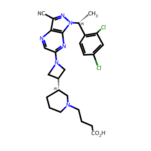 C[C@H](c1ccc(Cl)cc1Cl)n1nc(C#N)c2ncc(N3CC([C@H]4CCCN(CCCC(=O)O)C4)C3)nc21